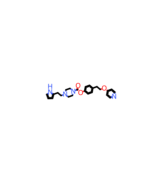 O=C(Oc1ccc(CCOc2ccncc2)cc1)N1CCN(CCc2ccc[nH]2)CC1